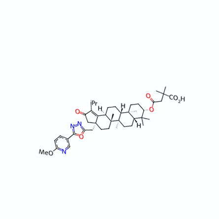 COc1ccc(-c2nnc(C[C@@]34CC[C@]5(C)[C@H](CC[C@@H]6[C@@]7(C)CC[C@H](OC(=O)CC(C)(C)C(=O)O)C(C)(C)[C@@H]7CC[C@]65C)C3=C(C(C)C)C(=O)C4)o2)cn1